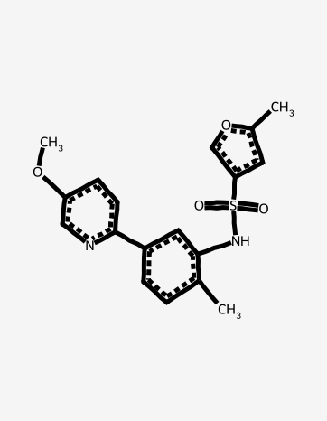 COc1ccc(-c2ccc(C)c(NS(=O)(=O)c3coc(C)c3)c2)nc1